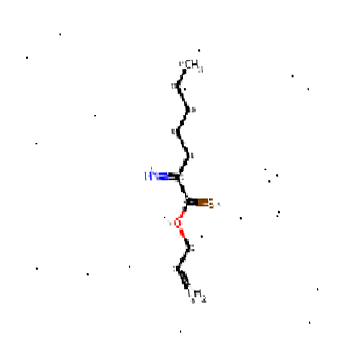 C=CCOC(=S)C(=N)CCCCC